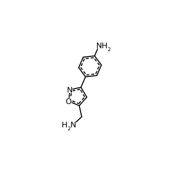 NCc1cc(-c2ccc(N)cc2)no1